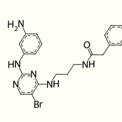 Cc1ccc(CC(=O)NCCCNc2nc(Nc3cccc(N)c3)ncc2Br)cc1